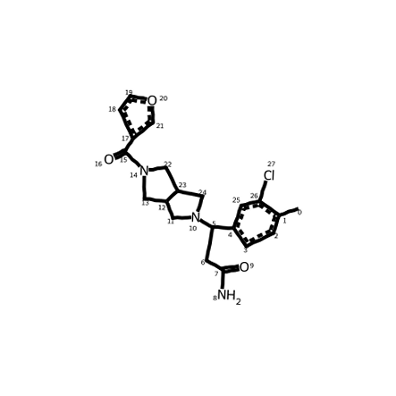 Cc1ccc(C(CC(N)=O)N2CC3CN(C(=O)c4ccoc4)CC3C2)cc1Cl